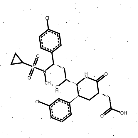 CC(C[C@@H](c1ccc(Cl)cc1)N(C)S(=O)(=O)C1CC1)[C@@H]1NC(=O)[C@H](CC(=O)O)C[C@@H]1c1cccc(Cl)c1